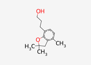 Cc1ccc(CCCO)c2c1CC(C)(C)O2